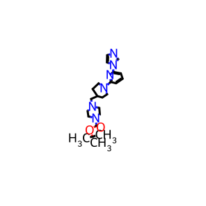 CC(C)(C)OC(=O)N1CCN(CC2CCN(c3cccc(-n4ccnc4)n3)CC2)CC1